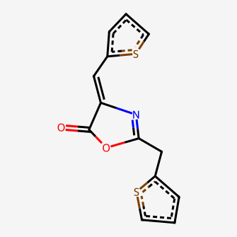 O=C1OC(Cc2cccs2)=NC1=Cc1cccs1